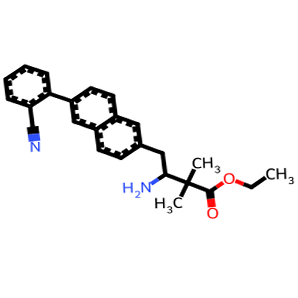 CCOC(=O)C(C)(C)C(N)Cc1ccc2cc(-c3ccccc3C#N)ccc2c1